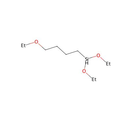 CCOCCCC[SiH](OCC)OCC